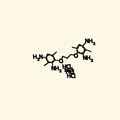 Cc1cc(N)c(C)c(N)c1OCCCOc1c(C)cc(N)c(C)c1N.Cl.Cl.Cl.Cl